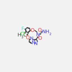 CC1Oc2ccn3ncc(c3n2)C(=O)N(CC(N)=O)CCOc2ccc(F)c(Cl)c21